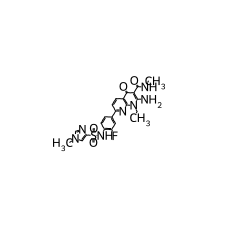 CCn1c(N)c(C(=O)NC)c(=O)c2ccc(-c3ccc(NS(=O)(=O)c4cn(C)cn4)c(F)c3)nc21